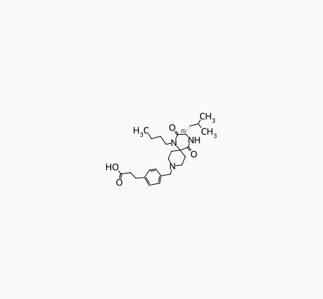 CCCCN1C(=O)[C@H](CC(C)C)NC(=O)C12CCN(Cc1ccc(CCC(=O)O)cc1)CC2